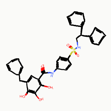 O=C(Nc1ccc(S(=O)(=O)NCC(c2ccccc2)c2ccccc2)cc1)c1cc(Cc2ccccc2)c(O)c(O)c1O